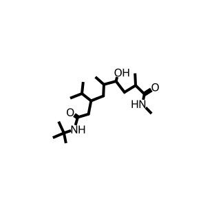 CNC(=O)C(C)CC(O)C(C)CC(CC(=O)NC(C)(C)C)C(C)C